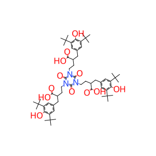 CC(C)(C)c1cc(CC(CCn2c(=O)n(CCC(Cc3cc(C(C)(C)C)c(O)c(C(C)(C)C)c3)C(=O)O)c(=O)n(CCC(Cc3cc(C(C)(C)C)c(O)c(C(C)(C)C)c3)C(=O)O)c2=O)C(=O)O)cc(C(C)(C)C)c1O